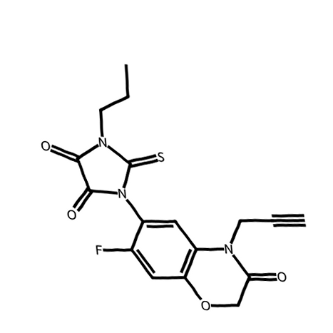 C#CCN1C(=O)COc2cc(F)c(N3C(=O)C(=O)N(CCC)C3=S)cc21